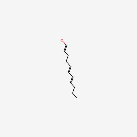 CCC/C=C/C=C/CC/C=C/[O]